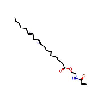 C=CC(=O)NCCOC(=O)CCCCCCC/C=C/C/C=C/CCCCC